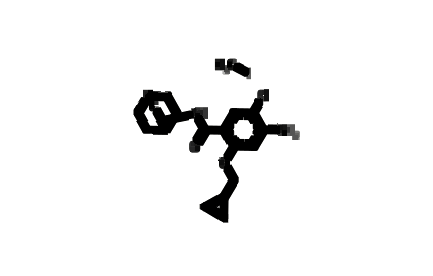 CI.Nc1cc(OCC2CC2)c(C(=O)NC2CN3CCC2CC3)cc1Cl